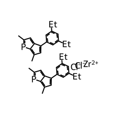 CCc1cc(CC)cc(C2=CC(C)=C3P=C(C)C=C23)c1.CCc1cc(CC)cc(C2=CC(C)=C3P=C(C)C=C23)c1.[Cl-].[Cl-].[Zr+2]